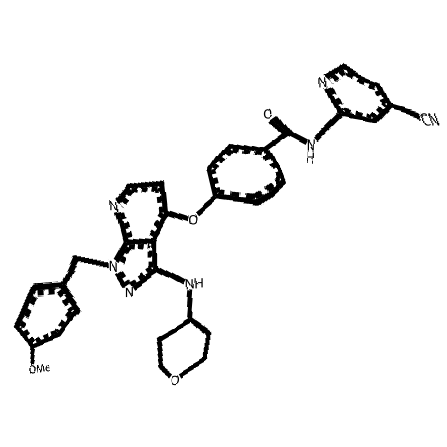 COc1ccc(Cn2nc(NC3CCOCC3)c3c(Oc4ccc(C(=O)Nc5cc(C#N)ccn5)cc4)ccnc32)cc1